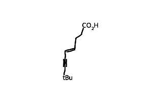 CC(C)(C)C#CC=CCCC(=O)O